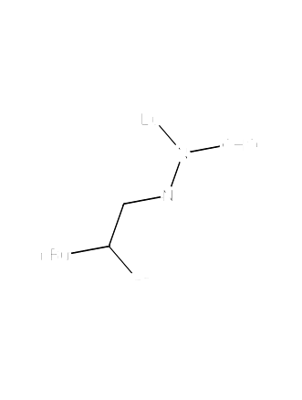 CCCCC(CC)CNN([C]=O)CC